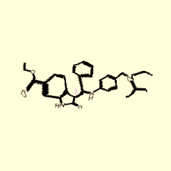 CCOC(=O)c1ccc2c(c1)NC(=O)/C2=C(\Nc1ccc(CN(CC)C(C)C)cc1)c1ccccc1